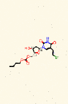 CCCCOC(=O)OC[C@H]1O[C@@H](n2cc(/C=C/Br)c(=O)[nH]c2=O)C[C@@H]1O